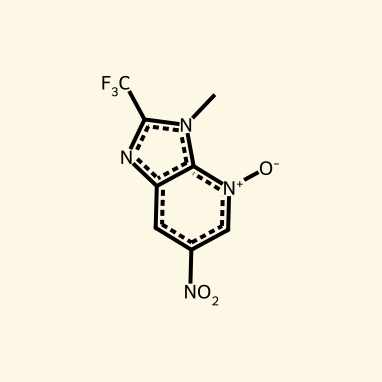 Cn1c(C(F)(F)F)nc2cc([N+](=O)[O-])c[n+]([O-])c21